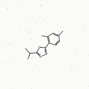 Cc1ccc(-c2nnc(C(C)C)o2)c(C)c1